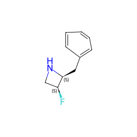 F[C@H]1CN[C@H]1Cc1ccccc1